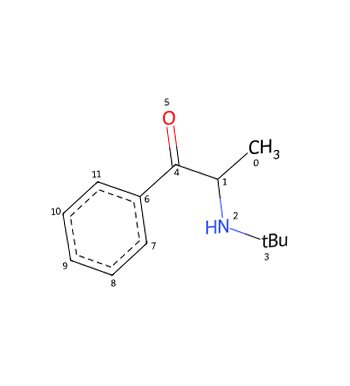 CC(NC(C)(C)C)C(=O)c1ccccc1